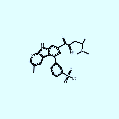 CCS(=O)(=O)c1cccc(-c2cc(C(=O)C(=N)CC(C)N(C)C)cc3[nH]c4ncc(C)cc4c23)c1